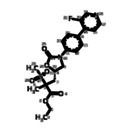 CCOC(=O)C(C)(C[C@H]1CN(c2ccc(-c3ccncc3F)cc2)C(=O)O1)S(C)(=O)=O